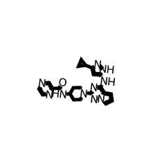 O=C(NC1CCN(c2nc(Nc3cc(C4CC4)n[nH]3)c3cccn3n2)CC1)c1cnccn1